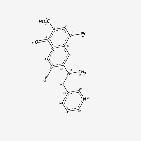 CC(C)n1cc(C(=O)O)c(=O)c2cc(F)c(N(C)Cc3cccnc3)cc21